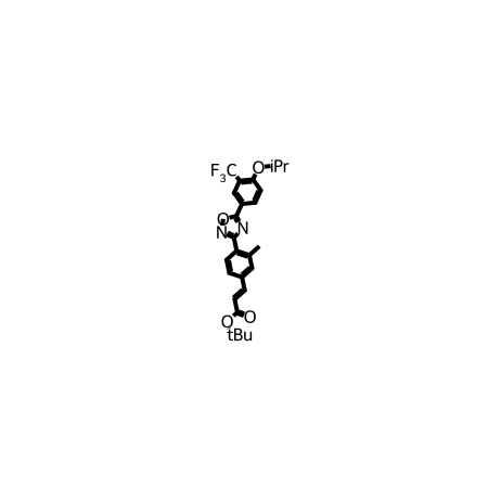 Cc1cc(/C=C/C(=O)OC(C)(C)C)ccc1-c1noc(-c2ccc(OC(C)C)c(C(F)(F)F)c2)n1